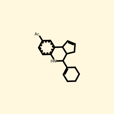 CC(=O)c1ccc2c(c1)C1C=CCC1C(C1=CCCCC1)N2